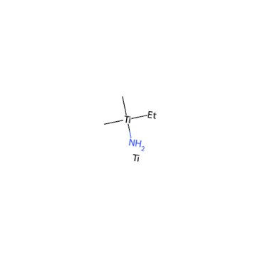 C[CH2][Ti]([CH3])([CH3])[NH2].[Ti]